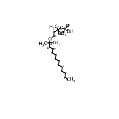 CCCCCCCCCCCCC(C)(C)OCCC(C)(C)OP(=O)(O)O